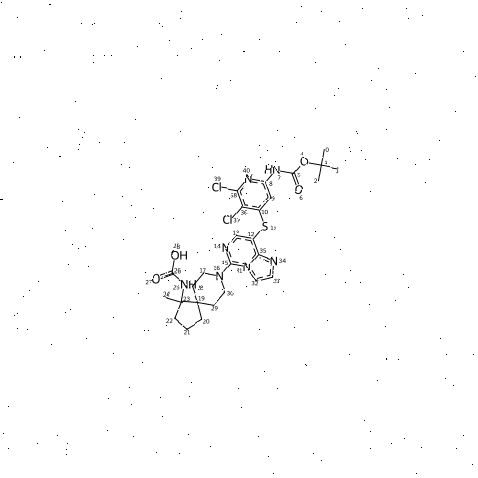 CC(C)(C)OC(=O)Nc1cc(Sc2cnc(N3CCC4(CCCC4(C)NC(=O)O)CC3)n3ccnc23)c(Cl)c(Cl)n1